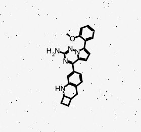 COc1ccccc1-c1ccc2c(-c3ccc4c(c3)NC3CCC3C4)nc(N)nn12